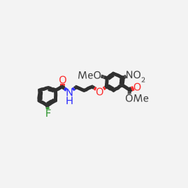 COC(=O)c1cc(OCCCNC(=O)c2cccc(F)c2)c(OC)cc1[N+](=O)[O-]